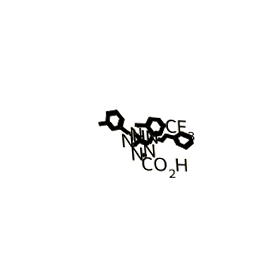 Cc1cccc(-c2nc3nc(C(=O)O)nc(NCCc4ccccc4)c3n2Cc2ccc(C(F)(F)F)cc2)c1